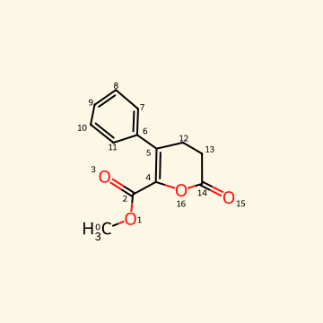 COC(=O)C1=C(c2ccccc2)CCC(=O)O1